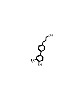 Cc1cc(-c2ccc(CCCO)cc2)ccc1S